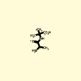 BC(C)C(=O)NC(C)(C)C(=O)O